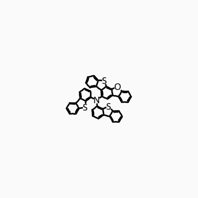 c1ccc2c(c1)oc1c2cc(N(c2cccc3c2sc2ccccc23)c2cccc3c2sc2ccccc23)c2c3ccccc3sc12